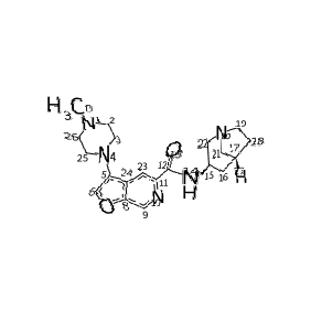 CN1CCN(c2coc3cnc(C(=O)N[C@@H]4C[C@H]5CCN(C5)C4)cc23)CC1